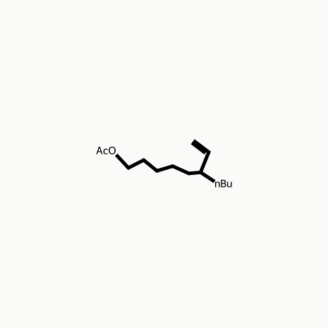 C=CC(CCCC)CCCCCOC(C)=O